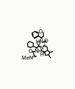 CN[C@@H](C)C(=O)N[C@H](C(=O)N1C[C@H]2CC(C)C(C)C2C[C@H]1C(=O)N[C@@H]1CCOc2ccccc21)C1CCCCC1